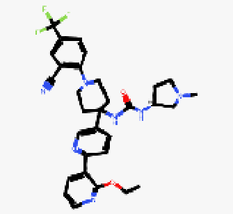 CCOc1ncccc1-c1ccc(C2(NC(=O)N[C@H]3CCN(C)C3)CCN(c3ccc(C(F)(F)F)cc3C#N)CC2)cn1